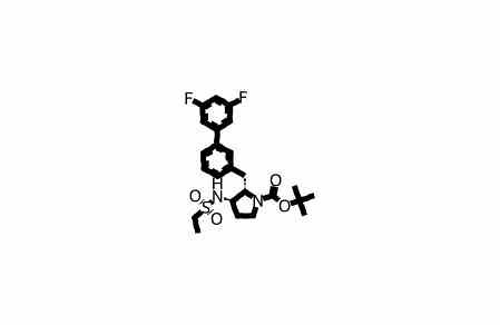 CCS(=O)(=O)N[C@H]1CCN(C(=O)OC(C)(C)C)[C@H]1Cc1cccc(-c2cc(F)cc(F)c2)c1